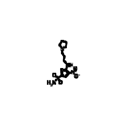 NS(=O)(=O)c1cc([N+](=O)[O-])c(NCCCN2CCCC2)s1